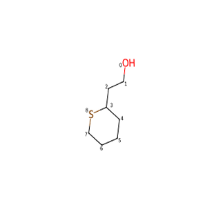 OCCC1CCCCS1